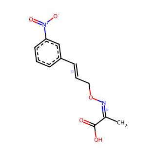 C/C(=N/OC/C=C/c1cccc([N+](=O)[O-])c1)C(=O)O